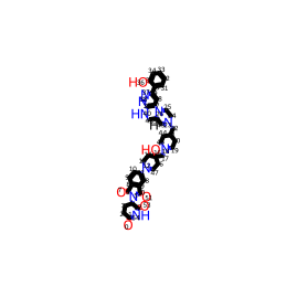 O=C1CCC(N2C(=O)c3ccc(N4CCC(O)(CN5CCC(CN6CCN7c8cc(-c9ccccc9O)nnc8NC[C@H]7C6)CC5)CC4)cc3C2=O)C(=O)N1